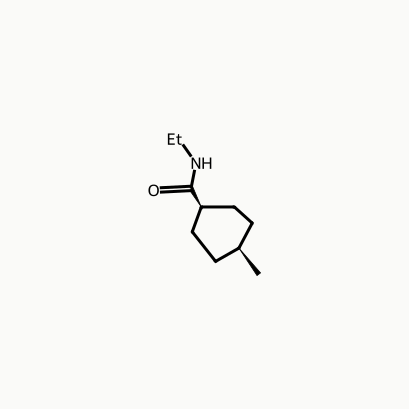 CCNC(=O)[C@H]1CC[C@@H](C)CC1